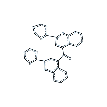 O=C(c1cc(-c2ccccn2)nc2ccccc12)c1cc(-c2ccccn2)nc2ccccc12